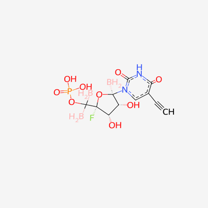 BC(B)(OP(=O)(O)O)[C@@]1(F)O[C@@](B)(n2cc(C#C)c(=O)[nH]c2=O)[C@H](O)[C@@H]1O